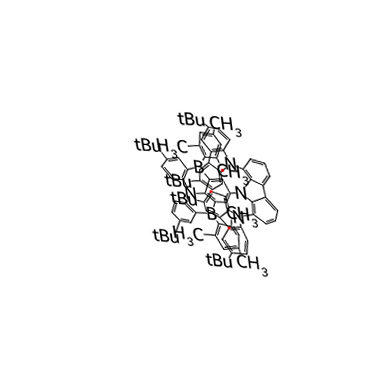 Cc1cc(C)c(B2c3cc(C(C)(C)C)ccc3N3c4ccc(C(C)(C)C)cc4B(c4c(C)cc(C)cc4C)c4cc(-n5c6c(-n7c8ccc(C(C)(C)C)cc8c8cc(C(C)(C)C)ccc87)cccc6c6cccc(-n7c8ccc(C(C)(C)C)cc8c8cc(C(C)(C)C)ccc87)c65)cc2c43)c(C)c1